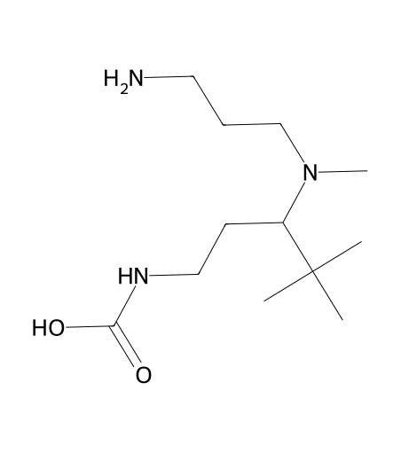 CN(CCCN)C(CCNC(=O)O)C(C)(C)C